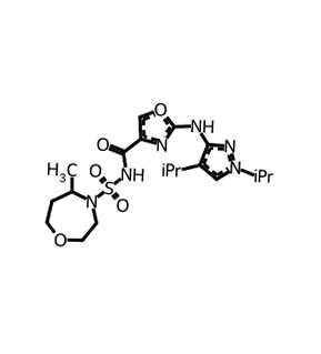 CC(C)c1cn(C(C)C)nc1Nc1nc(C(=O)NS(=O)(=O)N2CCOCCC2C)co1